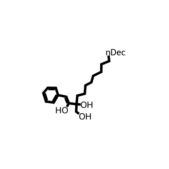 CCCCCCCCCCCCCCCCCCC(O)(CO)C(O)=Cc1ccccc1